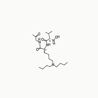 CCCCN(CCCC)CCCC[C@H](NC(=O)[C@@H](NO)C(C)C)C(=O)NCC(C)=O